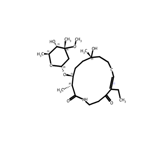 CC/C1=C/CCC[C@@](C)(O)CC[C@H](O[C@H]2C[C@@](C)(OC)[C@@H](O)[C@H](C)O2)[C@@H](C)C(=O)NCCC1=O